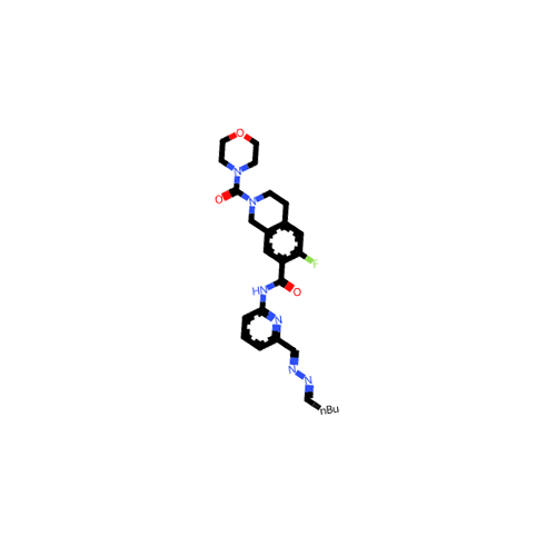 CCCC/C=N/N=C/c1cccc(NC(=O)c2cc3c(cc2F)CCN(C(=O)N2CCOCC2)C3)n1